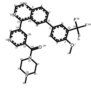 COc1ccc(-c2ccc3ncnc(-c4cncc(C(=O)N5CCN(C)CC5)c4)c3c2)cc1C(F)(F)F